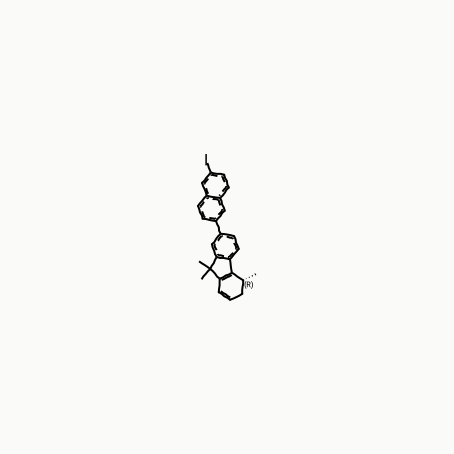 C[C@@H]1CC=CC2=C1c1ccc(-c3ccc4cc(I)ccc4c3)cc1C2(C)C